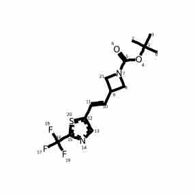 CC(C)(C)OC(=O)N1CC(C=Cc2cnc(C(F)(F)F)s2)C1